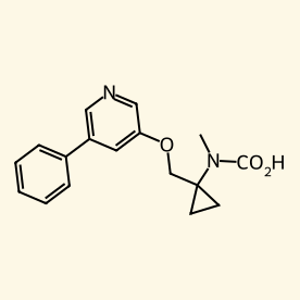 CN(C(=O)O)C1(COc2cncc(-c3ccccc3)c2)CC1